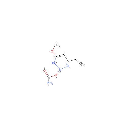 CCC1=NN(OC(N)=O)NC(OC)=C1